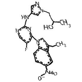 Cc1cn(-c2nc(Nc3cnn(CC(C)O)c3)ncc2F)c2ccc([N+](=O)[O-])cc12